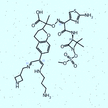 COS(=O)(=O)ON1C(=O)[C@@H](NC(=O)/C(=N\OC(C)(C(=O)O)C2CCc3cc(C(=C/NCCCN)/C=N/CC4CNC4)ccc3O2)c2csc(N)n2)C1(C)C